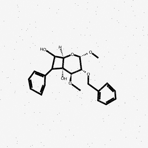 CO[C@H]1O[C@@H]2C(O)C(c3ccccc3)[C@]2(O)[C@H](OC)[C@H]1OCc1ccccc1